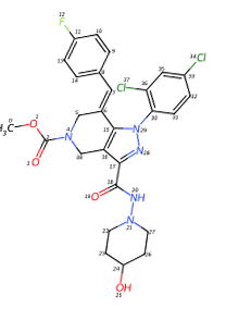 COC(=O)N1CC(=Cc2ccc(F)cc2)c2c(c(C(=O)NN3CCC(O)CC3)nn2-c2ccc(Cl)cc2Cl)C1